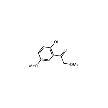 COCC(=O)c1cc(OC)ccc1O